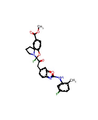 COC(=O)c1ccc(OC(F)(C(=O)Cc2ccc3nc(Nc4cc(F)ccc4C)oc3c2)N2CCCC2)cc1